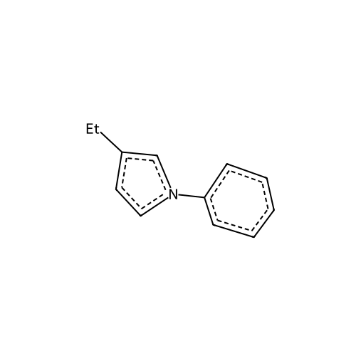 CCc1ccn(-c2ccccc2)c1